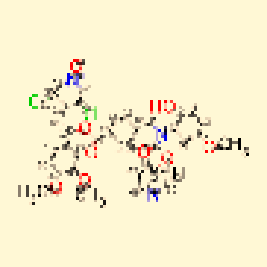 COc1ccc(O)c(N(Cc2ccc(C(=O)O[C@@H](Cc3c(Cl)c[n+]([O-])cc3Cl)c3ccc(OC)c(OC)c3)cc2)C(=O)O[C@H]2CN3CCC2CC3)c1